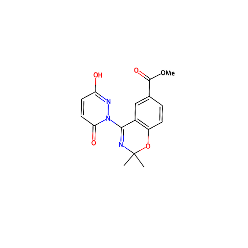 COC(=O)c1ccc2c(c1)C(n1nc(O)ccc1=O)=NC(C)(C)O2